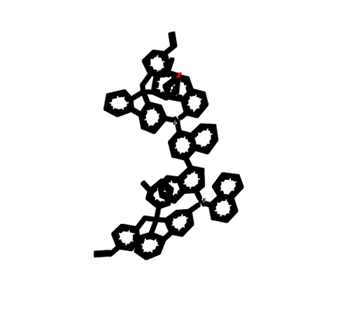 C=Cc1ccc(CC2(c3cccc(C)c3)c3ccccc3-c3ccc(N(c4cccc5ccccc45)c4ccc(-c5ccc(N(c6ccc7c(c6)C(Cc6ccc(C=C)cc6)(c6cccc(C)c6)c6ccccc6-7)c6cccc7ccccc67)c6ccccc56)c5ccccc45)cc32)cc1